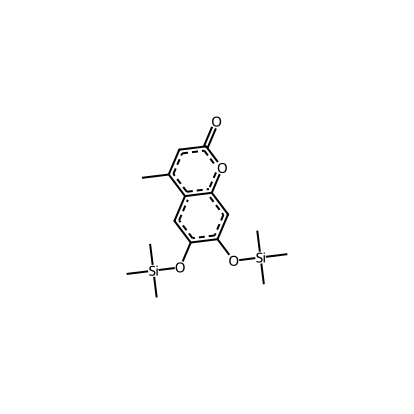 Cc1cc(=O)oc2cc(O[Si](C)(C)C)c(O[Si](C)(C)C)cc12